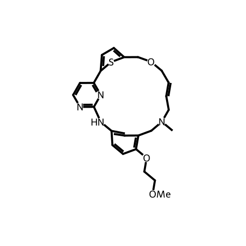 COCCOc1ccc2cc1CN(C)C/C=C/COCc1ccc(s1)-c1ccnc(n1)N2